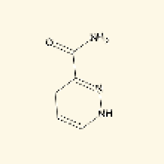 NC(=O)C1=NNC=CC1